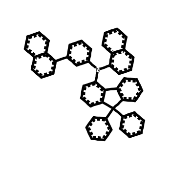 c1ccc(C2(c3ccccc3)c3ccccc3-c3c(N(c4cccc(-c5cccc6ccccc56)c4)c4cccc5ccccc45)cccc32)cc1